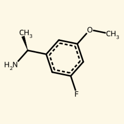 COc1cc(F)cc([C@H](C)N)c1